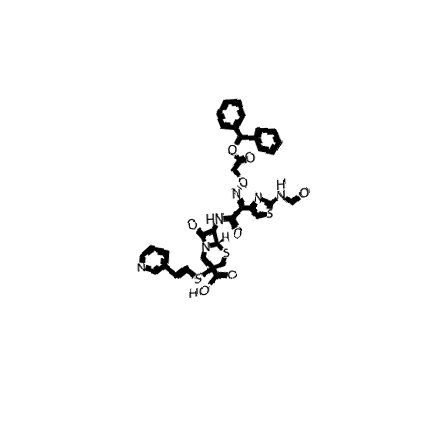 O=CNc1nc(C(=NOCC(=O)OC(c2ccccc2)c2ccccc2)C(=O)NC2C(=O)N3CC(SC=Cc4cccnc4)(C(=O)O)CS[C@H]23)cs1